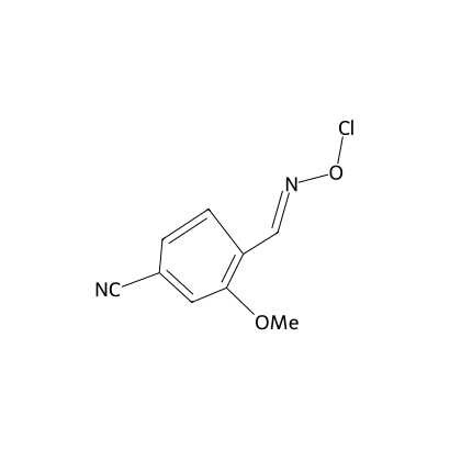 COc1cc(C#N)ccc1C=NOCl